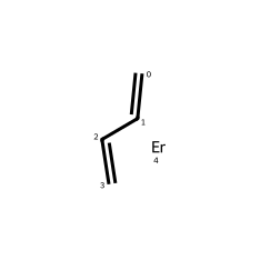 C=CC=C.[Er]